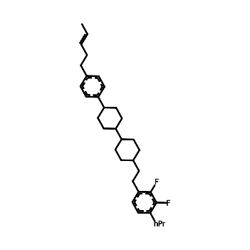 C/C=C/CCc1ccc(C2CCC(C3CCC(CCc4ccc(CCC)c(F)c4F)CC3)CC2)cc1